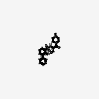 CN1CCN(C(=O)[C@H](CN)NS(=O)(=O)c2cccc(-c3cccnc3)c2F)CC1